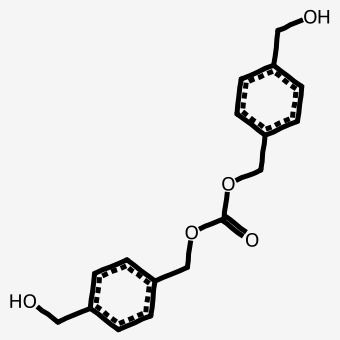 O=C(OCc1ccc(CO)cc1)OCc1ccc(CO)cc1